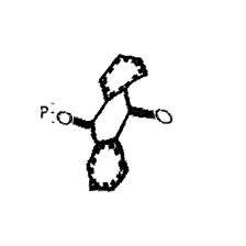 O=C1c2ccccc2C(=O)c2ccccc21.[P]